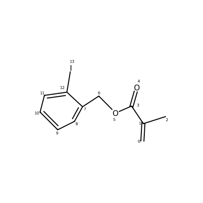 C=C(C)C(=O)OCc1ccccc1I